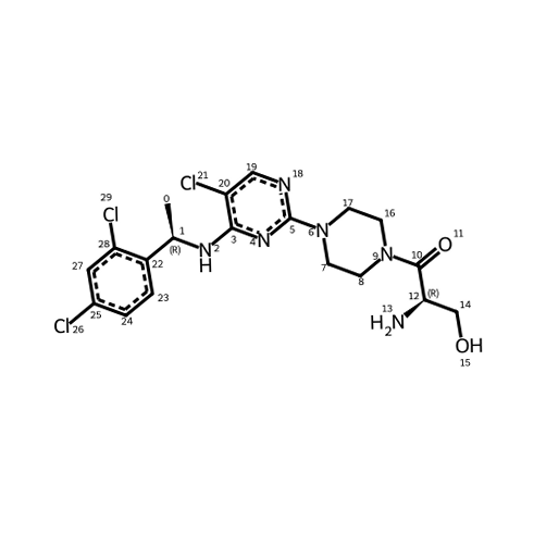 C[C@@H](Nc1nc(N2CCN(C(=O)[C@H](N)CO)CC2)ncc1Cl)c1ccc(Cl)cc1Cl